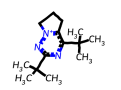 CC(C)(C)c1nc(C(C)(C)C)c2[n+](n1)CCC2